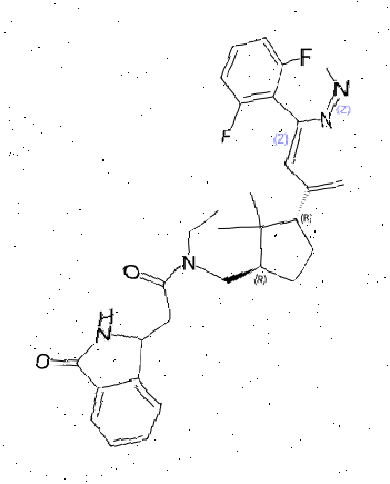 C=C(/C=C(\N=N/C)c1c(F)cccc1F)[C@@H]1CC[C@@H](CN(CC)C(=O)CC2NC(=O)c3ccccc32)C1(C)C